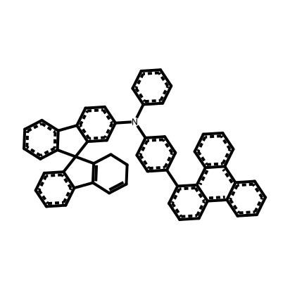 C1=CC2=C(CC1)C1(c3ccccc32)c2ccccc2-c2ccc(N(c3ccccc3)c3ccc(-c4cccc5c6ccccc6c6ccccc6c45)cc3)cc21